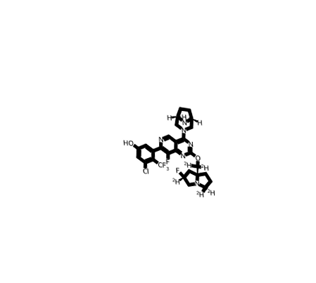 [2H]C1([2H])CC[C@@]2(C([2H])([2H])Oc3nc(N4C[C@H]5CC[C@@H](C4)N5)c4cnc(-c5cc(O)cc(Cl)c5C(F)(F)F)c(F)c4n3)C[C@@]([2H])(F)CN12